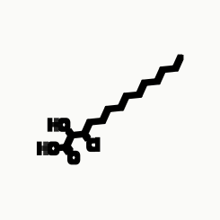 CCCCCCCCCCCC(Cl)C(O)C(=O)O